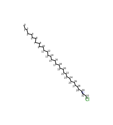 CCCCCCCCCCCCCCCCCCCCCCCCCCCCCC/C=C/CCl